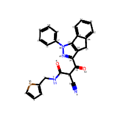 N#CC(C(=O)NCc1cccs1)C(=O)c1nn(-c2ccccc2)c2c1Cc1ccccc1-2